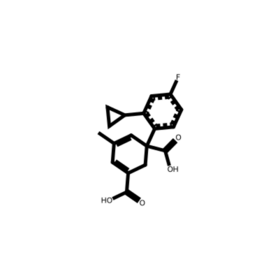 CC1=CC(C(=O)O)(c2ccc(F)cc2C2CC2)CC(C(=O)O)=C1